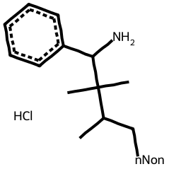 CCCCCCCCCCC(C)C(C)(C)C(N)c1ccccc1.Cl